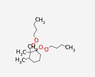 CCCCOOC1(OOCCCC)CCCC(C)C1(C)C